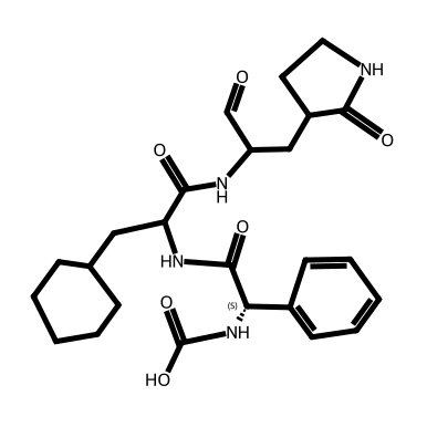 O=CC(CC1CCNC1=O)NC(=O)C(CC1CCCCC1)NC(=O)[C@@H](NC(=O)O)c1ccccc1